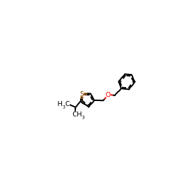 CC(C)c1cc(COCc2ccccc2)cs1